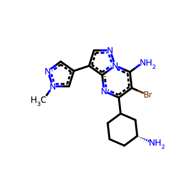 Cn1cc(-c2cnn3c(N)c(Br)c(C4CCC[C@@H](N)C4)nc23)cn1